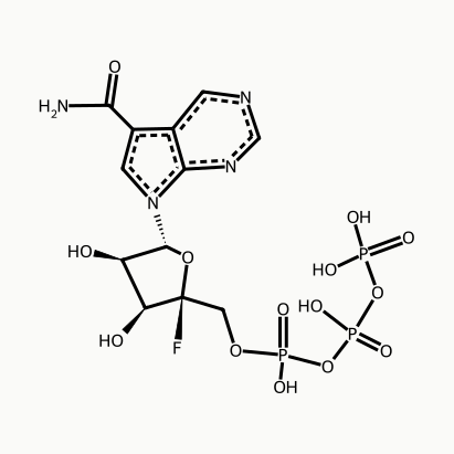 NC(=O)c1cn([C@@H]2O[C@](F)(COP(=O)(O)OP(=O)(O)OP(=O)(O)O)[C@@H](O)[C@H]2O)c2ncncc12